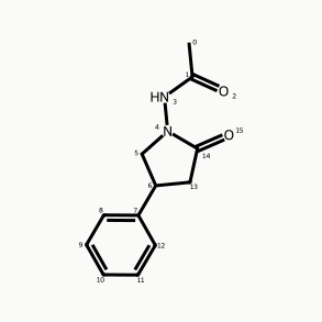 CC(=O)NN1CC(c2ccccc2)CC1=O